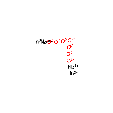 [In+3].[In+3].[Nb+4].[Nb+4].[O-2].[O-2].[O-2].[O-2].[O-2].[O-2].[O-2]